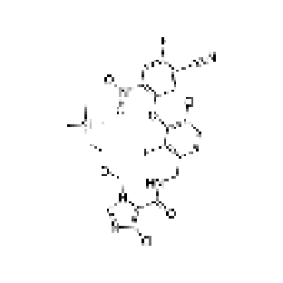 C[Si](C)(C)CCOCn1cnc(Cl)c1C(=O)NCc1ccc(Cl)c(Oc2cc(C#N)c(F)cc2[N+](=O)[O-])c1F